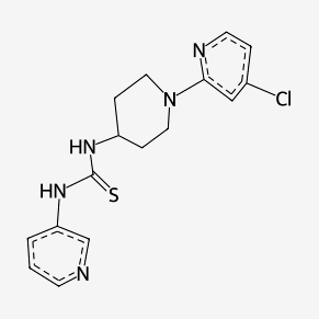 S=C(Nc1cccnc1)NC1CCN(c2cc(Cl)ccn2)CC1